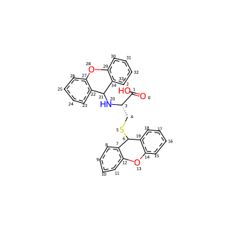 O=C(O)[C@H](CSC1c2ccccc2Oc2ccccc21)NC1c2ccccc2Oc2ccccc21